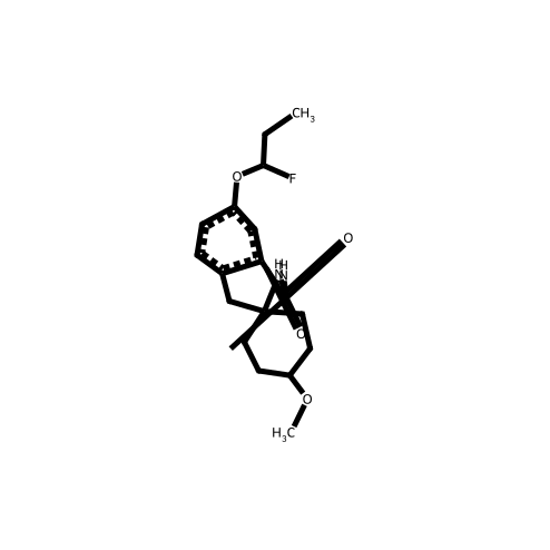 CCC(F)Oc1ccc2c(c1)C1(NC(=O)NC1=O)C1(CCC(OC)CC1)C2